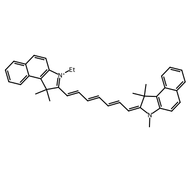 CC[N+]1=C(/C=C/C=C/C=C/C=C2/N(C)c3ccc4ccccc4c3C2(C)C)C(C)(C)c2c1ccc1ccccc21